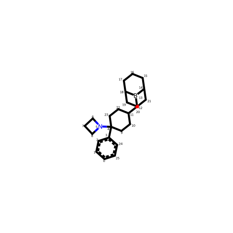 c1ccc(C2(N3CCC3)CCC(CB3C4CCCC3CCC4)CC2)cc1